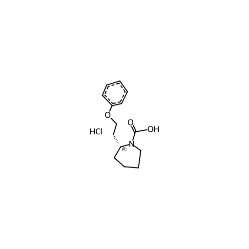 Cl.O=C(O)N1CCCC[C@@H]1CCOc1ccccc1